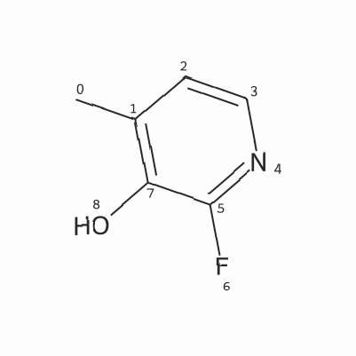 Cc1ccnc(F)c1O